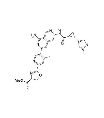 COC(=O)[C@@H]1COC(c2cc(C)c(-c3cc4cc(NC(=O)[C@H]5C[C@@H]5c5cnn(C)c5)ncc4c(N)n3)cn2)=N1